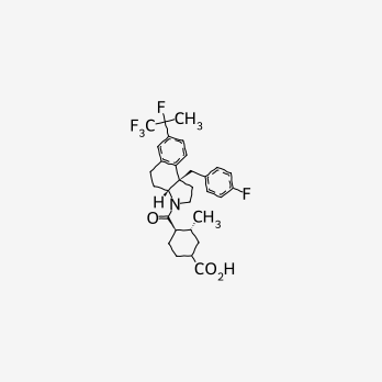 C[C@@H]1CC(C(=O)O)CC[C@H]1C(=O)N1CC[C@@]2(Cc3ccc(F)cc3)c3ccc(C(C)(F)C(F)(F)F)cc3CC[C@@H]12